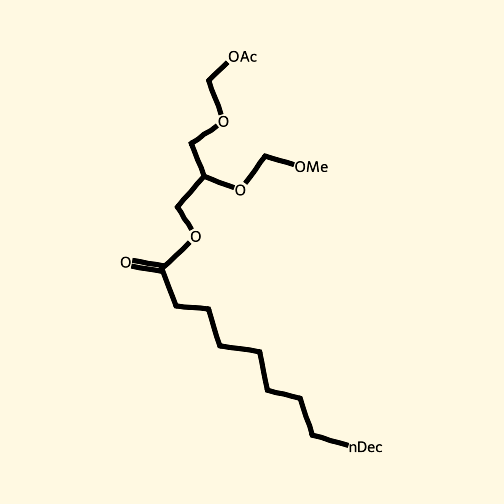 CCCCCCCCCCCCCCCCCC(=O)OCC(COCOC(C)=O)OCOC